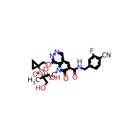 Cn1c(=O)c(C(=O)NCc2ccc(C#N)c(F)c2)cc2cnnc(OCC3(S(=O)(=O)C(C)(CO)CO)CC3)c21